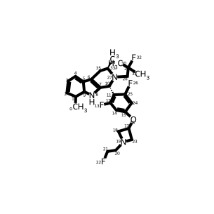 CC1C=CC=C2C3=C(NC21)[C@@H](c1c(F)cc(OC2CN(CCF)C2)cc1F)N(CC(C)(C)F)[C@H](C)C3